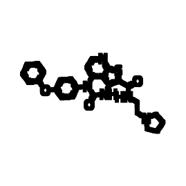 O=C(NCCN1CCCC1)c1sc2nccc3c2c1NC(=O)N3c1ccc(Oc2ccccc2)cc1